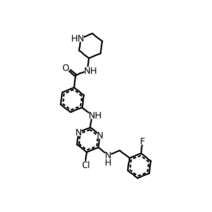 O=C(NC1CCCNC1)c1cccc(Nc2ncc(Cl)c(NCc3ccccc3F)n2)c1